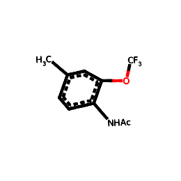 CC(=O)Nc1ccc(C)cc1OC(F)(F)F